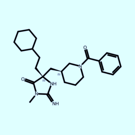 CN1C(=N)N[C@@](CCC2CCCCC2)(C[C@@H]2CCCN(C(=O)c3ccccc3)C2)C1=O